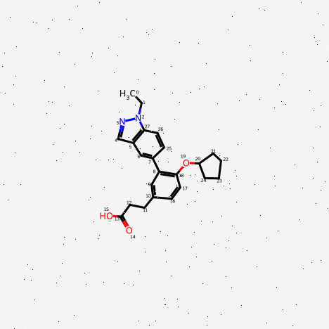 CCn1ncc2cc(-c3cc(CCC(=O)O)ccc3OC3CCCC3)ccc21